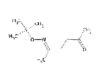 CC(=O)CCC(C)=NO[Si](C)(C)C